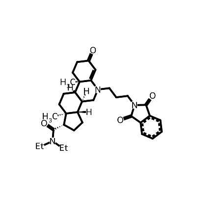 CCN(CC)C(=O)[C@H]1CC[C@H]2[C@@H]3CN(CCCN4C(=O)c5ccccc5C4=O)C4=CC(=O)CC[C@]4(C)[C@H]3CC[C@]12C